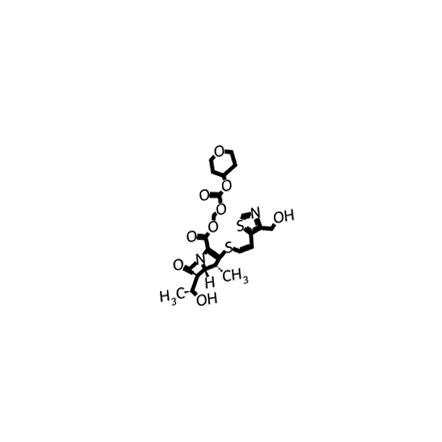 C[C@@H](O)[C@H]1C(=O)N2C(C(=O)OCOC(=O)OC3CCOCC3)=C(S/C=C\c3scnc3CO)[C@H](C)[C@H]12